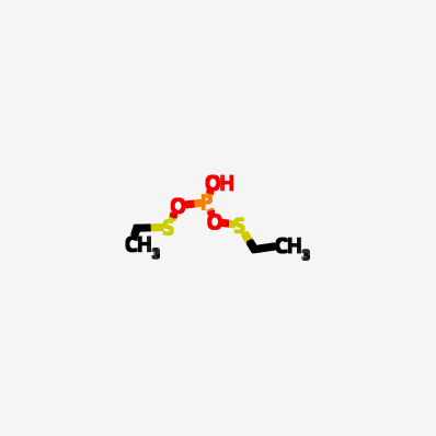 CCSOP(O)OSCC